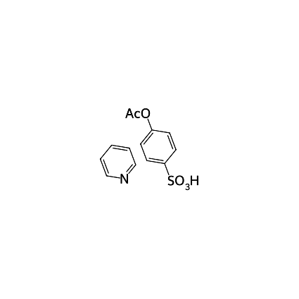 CC(=O)Oc1ccc(S(=O)(=O)O)cc1.c1ccncc1